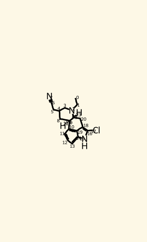 CCN1CC(CC#N)C[C@@H]2c3cccc4[nH]c(Cl)c(c34)C[C@H]21